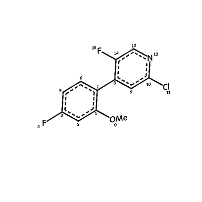 COc1cc(F)ccc1-c1cc(Cl)ncc1F